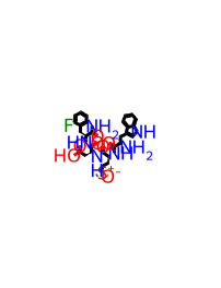 C[S+]([O-])CC[C@H](NC(=O)[C@H](N)Cc1c[nH]c2ccccc12)C(=O)N[C@@H](CC(=O)O)C(=O)N[C@@H](Cc1ccccc1F)C(N)=O